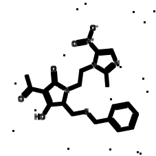 CC(=O)C1=C(O)C(CSCc2ccccc2)N(CCn2c([N+](=O)[O-])cnc2C)C1=O